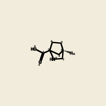 O=C(O)C12CC[C@@H](CN1)C2